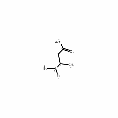 CCN(CC)C(C)CC(=O)OC(C)=O